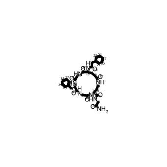 NC(=O)CNC(=O)[C@@H]1CCNC(=O)CC[C@H](NC(=O)Cc2ccccc2)C(=O)NCC(=O)N[C@H](Cc2ccccc2)C(=O)NCC(=O)N1